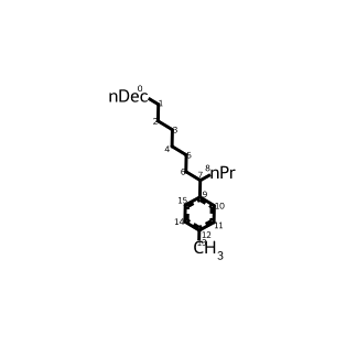 CCCCCCCCCCCCCCCCC(CCC)c1ccc(C)cc1